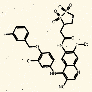 CCOc1cc2ncc(C#N)c(Nc3ccc(OCc4cccc(F)c4)c(Cl)c3)c2cc1NC(=O)CC1CCS(=O)(=O)S1(=O)=O